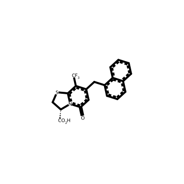 O=C(O)[C@@H]1CSc2c(C(F)(F)F)c(Cc3cccc4ccccc34)cc(=O)n21